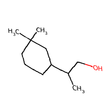 CC(CO)C1CCCC(C)(C)C1